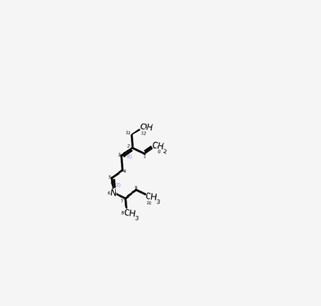 C=C/C(=C\C/C=N\C(C)CC)CO